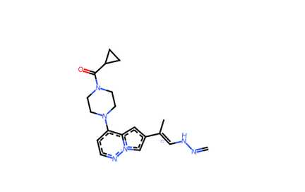 C=NN/C=C(\C)c1cc2c(N3CCN(C(=O)C4CC4)CC3)ccnn2c1